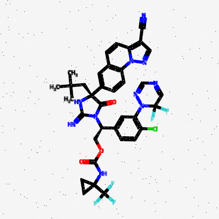 CC(C)(C)C[C@]1(c2ccc3c(ccc4c(C#N)cnn43)c2)NC(=N)N([C@H](COC(=O)NC2(C(F)(F)F)CC2)c2ccc(Cl)c(N3N=CN=CC3(F)F)c2)C1=O